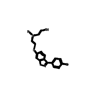 CCN(CCO)CCOc1ccc2c(-c3ccc(Br)cc3)nsc2c1